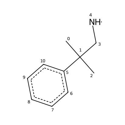 CC(C)(C[NH])c1ccccc1